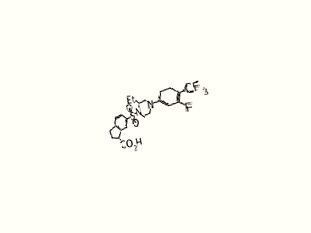 CCC1CN(C2=CC(F)=C(C(F)(F)F)CC2)CCN1S(=O)(=O)c1ccc2c(c1)C(C(=O)O)CC2